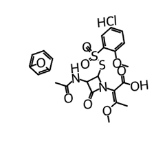 COC(C)=C(C(=O)O)N1C(=O)C(NC(C)=O)C1SS(=O)(=O)c1ccccc1OC.Cl.c1cc2cc(c1)O2